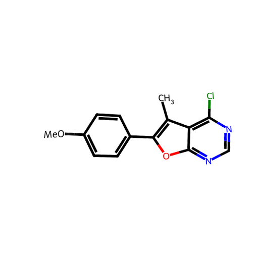 COc1ccc(-c2oc3ncnc(Cl)c3c2C)cc1